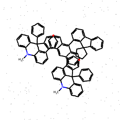 CN1c2ccccc2C(c2ccccc2)(c2ccccc2)c2c(-c3cccc4c(-c5cccc6c5C5(CCCC5)c5ccccc5-6)c5cccc(-c6cccc7c6C(c6ccccc6)(c6ccccc6)c6ccccc6N7C)c5cc34)cccc21